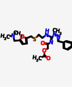 CC(=O)OCC(=O)N=C(NCCSCc1ccc(CN(C)C)o1)N(C)N=Cc1ccccc1